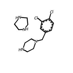 C1CNCCN1.Clc1ccc(CN2CCNCC2)cc1Cl